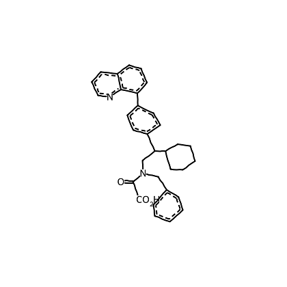 O=C(O)C(=O)N(Cc1ccccc1)CC(c1ccc(-c2cccc3cccnc23)cc1)C1CCCCC1